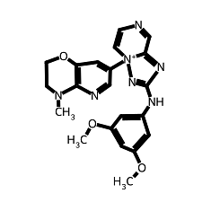 COc1cc(NC2=N[N+]3(c4cnc5c(c4)OCCN5C)C=CN=CC3=N2)cc(OC)c1